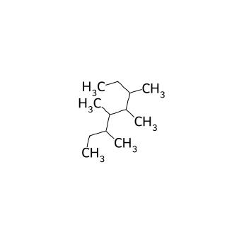 CCC(C)C(C)C(C)C(C)CC